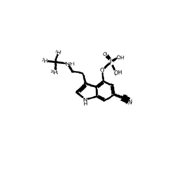 [2H]C([2H])([2H])NCCc1c[nH]c2cc(C#N)cc(OP(=O)(O)O)c12